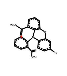 COC(=O)c1ccccc1N1c2ccc(Br)cc2Oc2cccc(C(=O)OC)c21